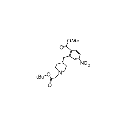 COC(=O)c1ccc([N+](=O)[O-])cc1CN1CCN(CC(=O)OC(C)(C)C)CC1